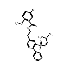 COc1ccc(Cl)cc1C(=O)NCCc1ccc(-c2ccccc2)c(S(=O)(=O)/N=C\N(C)C)c1